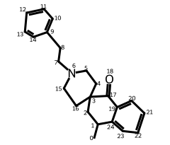 CC1CC2(CCN(CCc3ccccc3)CC2)C(=O)c2ccccc21